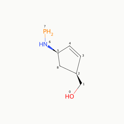 OC[C@@H]1C=C[C@H](NP)C1